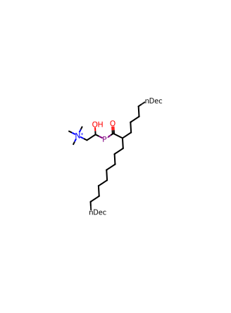 CCCCCCCCCCCCCCCCCCC(CCCCCCCCCCCCCC)C(=O)[P-]C(O)C[N+](C)(C)C